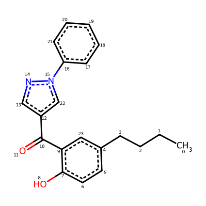 CCCCc1ccc(O)c(C(=O)c2cnn(-c3ccccc3)c2)c1